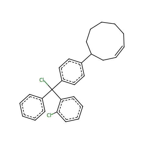 Clc1ccccc1C(Cl)(c1ccccc1)c1ccc(C2C/C=C\CCCCC2)cc1